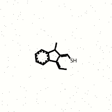 C/C=C1\C(=C/S)C(C)c2ccccc21